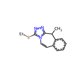 CCSc1nnc2n1C=Cc1ccccc1C2C